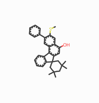 CSc1cc2c(O)cc3c(c2cc1-c1ccccc1)-c1ccccc1C31CC(C)(C)CC(C)(C)C1